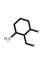 CC1CCCC(F)C1CF